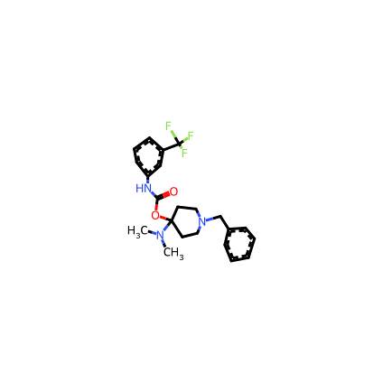 CN(C)C1(OC(=O)Nc2cccc(C(F)(F)F)c2)CCN(Cc2ccccc2)CC1